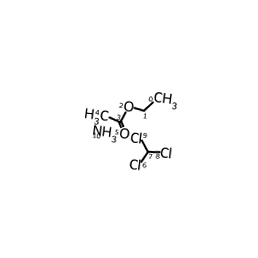 CCOC(C)=O.ClC(Cl)Cl.N